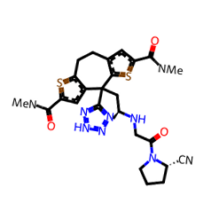 CNC(=O)c1cc2c(s1)CCc1cc(C(=O)NC)sc1C2(C[C@H](C)NCC(=O)N1CCC[C@H]1C#N)c1nn[nH]n1